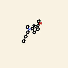 c1ccc(-c2ccc(-c3ccc(N(c4ccccc4)c4ccc5c(c4)-c4ccccc4-c4ccccc4C54c5ccccc5-c5c4ccc4oc6ccccc6c54)cc3)cc2)cc1